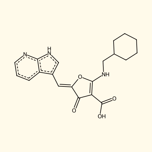 O=C(O)C1=C(NCC2CCCCC2)OC(=Cc2c[nH]c3ncccc23)C1=O